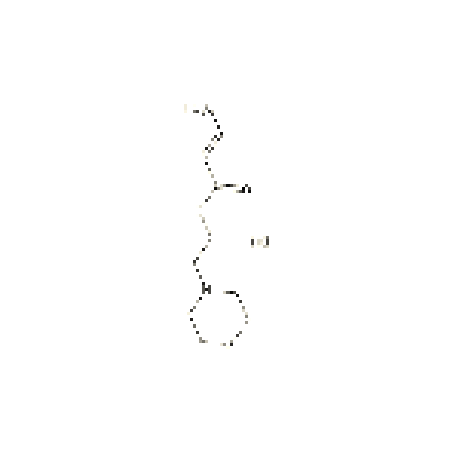 Cl.O=C(O)C=CC(=O)OCCN1CCSCC1